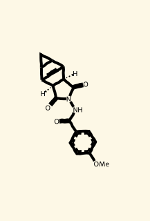 COc1ccc(C(=O)NN2C(=O)[C@@H]3C4C=CC(C5CC54)[C@@H]3C2=O)cc1